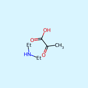 CC(=O)C(=O)O.CCNCC